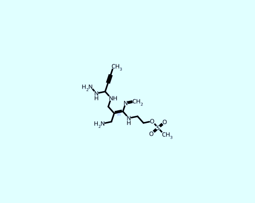 C=N/C(NCCOS(C)(=O)=O)=C(/CN)CNC(C#CC)NN